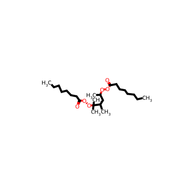 CCCCCCCC(=O)OOC(C)CC(C)C(C)(C)OOC(=O)CCCCCCC